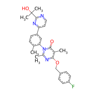 Cc1ccc(-c2ccnc(C(C)(C)O)n2)cc1-n1c(C)nc(OCc2ccc(F)cc2)c(C)c1=O